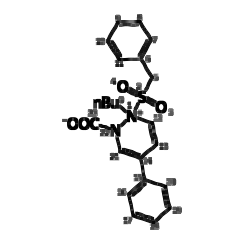 CCCC[N+]1(S(=O)(=O)Cc2ccccc2)C=CC(c2ccccc2)=CN1C(=O)[O-]